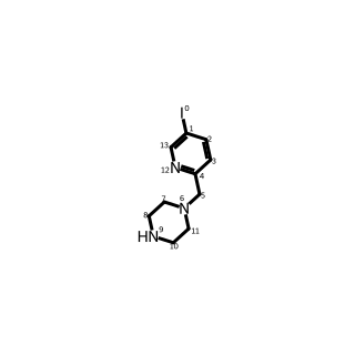 Ic1ccc(CN2CCNCC2)nc1